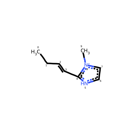 CCC=Cc1[nH]cc[n+]1C